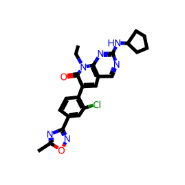 CCn1c(=O)c(-c2ccc(-c3noc(C)n3)cc2Cl)cc2cnc(NC3CCCC3)nc21